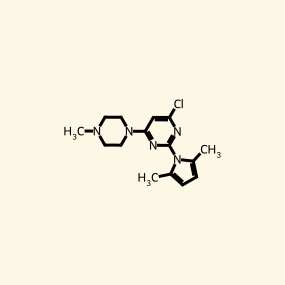 Cc1ccc(C)n1-c1nc(Cl)cc(N2CCN(C)CC2)n1